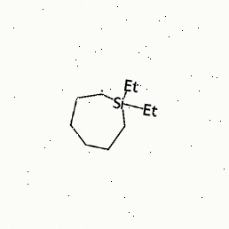 CC[Si]1(CC)[CH]CCCCC1